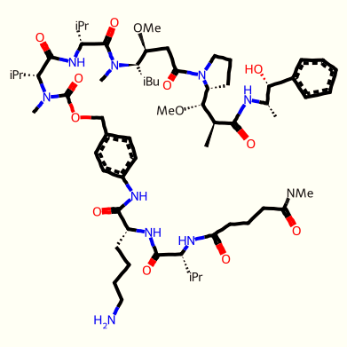 CC[C@@H](C)[C@H]([C@H](CC(=O)N1CCC[C@@H]1[C@@H](OC)[C@H](C)C(=O)N[C@@H](C)[C@H](O)c1ccccc1)OC)N(C)C(=O)[C@H](NC(=O)[C@@H](C(C)C)N(C)C(=O)OCc1ccc(NC(=O)[C@@H](CCCCN)NC(=O)[C@H](NC(=O)CCCC(=O)NC)C(C)C)cc1)C(C)C